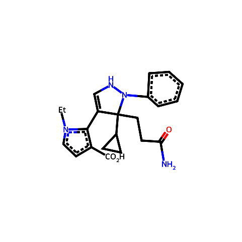 CCn1ccc(C(=O)O)c1C1=CNN(c2ccccc2)C1(CCC(N)=O)C1CC1